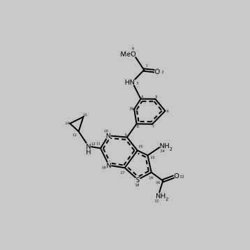 COC(=O)Nc1cccc(-c2nc(NC3CC3)nc3sc(C(N)=O)c(N)c23)c1